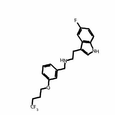 Fc1ccc2[nH]cc(CCNCc3cccc(OCCCC(F)(F)F)c3)c2c1